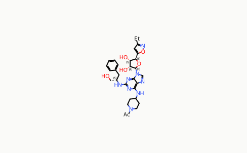 CCc1cc([C@H]2O[C@@H](n3cnc4c(NC5CCN(C(C)=O)CC5)nc(N[C@H](CO)Cc5ccccc5)nc43)[C@H](O)[C@@H]2O)on1